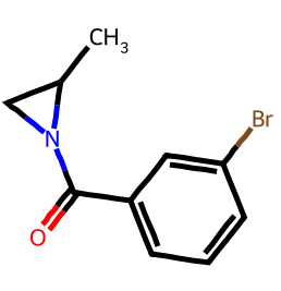 CC1CN1C(=O)c1cccc(Br)c1